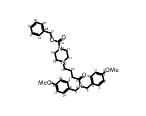 COc1ccc(CN(Cc2ccc(OC)cc2)C(=O)CCCN2CCN(C(=O)OCc3ccccc3)CC2)cc1